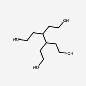 OCCC(CCO)C(CCO)CCO